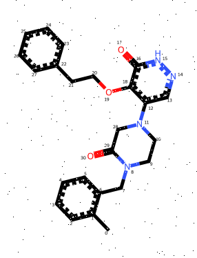 Cc1ccccc1CN1CCN(c2cn[nH]c(=O)c2OCCc2ccccc2)CC1=O